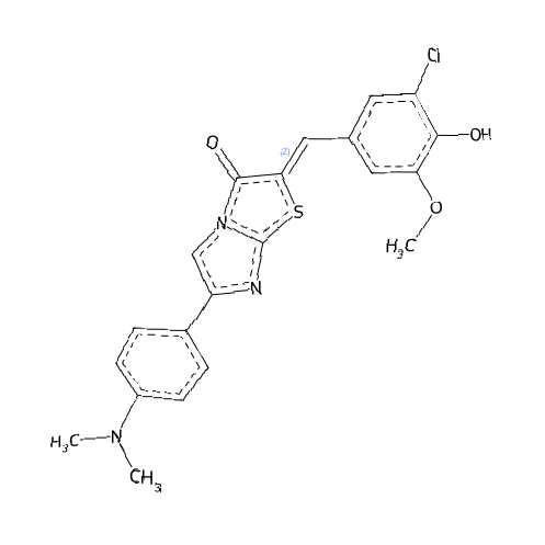 COc1cc(/C=c2\sc3nc(-c4ccc(N(C)C)cc4)cn3c2=O)cc(Cl)c1O